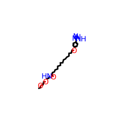 CCOCCOCCNC(=O)CCCCCCCCCCCCCCCOc1ccc(-c2nnn[nH]2)cc1